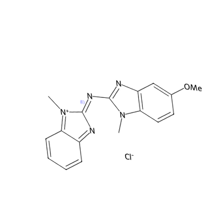 COc1ccc2c(c1)nc(/N=C1\N=c3ccccc3=[N+]1C)n2C.[Cl-]